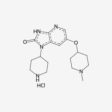 CN1CCC(Oc2cnc3[nH]c(=O)n(C4CCNCC4)c3c2)CC1.Cl